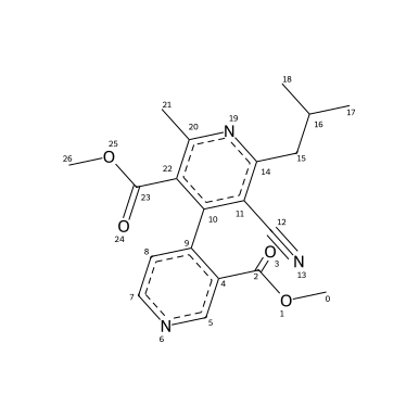 COC(=O)c1cnccc1-c1c(C#N)c(CC(C)C)nc(C)c1C(=O)OC